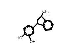 CC1CC(c2ccc(O)c(O)c2)c2ccccc21